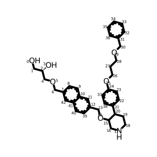 OC[C@H](O)COCc1ccc2cc(COC3CNCCC3c3ccc(OCCCOCc4ccccc4)cc3)ccc2c1